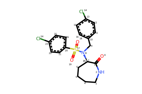 O=C1NCCCC[C@H]1N(Cc1ccc(Cl)cc1)S(=O)(=O)c1ccc(Cl)cc1